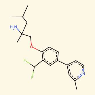 Cc1cc(-c2ccc(OCC(C)(N)CC(C)C)c(C(F)F)c2)ccn1